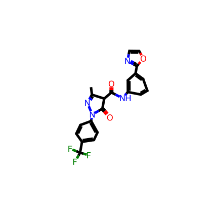 CC1=NN(c2ccc(C(F)(F)F)cc2)C(=O)C1C(=O)Nc1cccc(-c2ncco2)c1